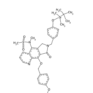 COc1ccc(COc2c3c(c(N(C)S(C)(=O)=O)c4cccnc24)CN(Cc2ccc(O[Si](C)(C)C(C)(C)C)cc2)C3=O)cc1